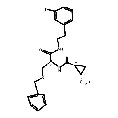 CCOC(=O)[C@H]1C[C@@H]1C(=O)N[C@@H](CSCc1ccccc1)C(=O)NCCc1cccc(F)c1